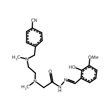 COc1cccc(C=NNC(=O)CN(C)CCN(C)Cc2ccc(C#N)cc2)c1O